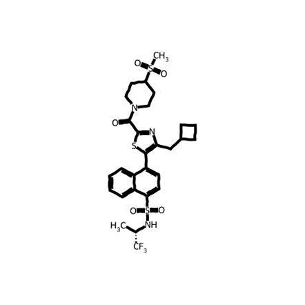 C[C@H](NS(=O)(=O)c1ccc(-c2sc(C(=O)N3CCC(S(C)(=O)=O)CC3)nc2CC2CCC2)c2ccccc12)C(F)(F)F